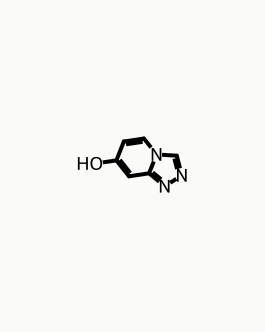 Oc1ccn2cnnc2c1